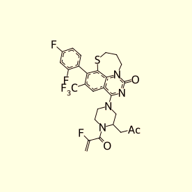 C=C(F)C(=O)N1CCN(c2nc(=O)n3c4c(c(-c5ccc(F)cc5F)c(C(F)(F)F)cc24)SCCC3)CC1CC(C)=O